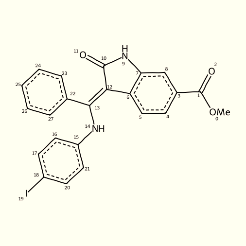 COC(=O)c1ccc2c(c1)NC(=O)/C2=C(/Nc1ccc(I)cc1)c1ccccc1